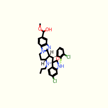 CCCN1[C@H]2CCn3c(nc4cc(C(O)OC)ccc43)[C@H]2[C@H](c2cccc(Cl)c2F)[C@]12C(=O)Nc1cc(Cl)ccc12